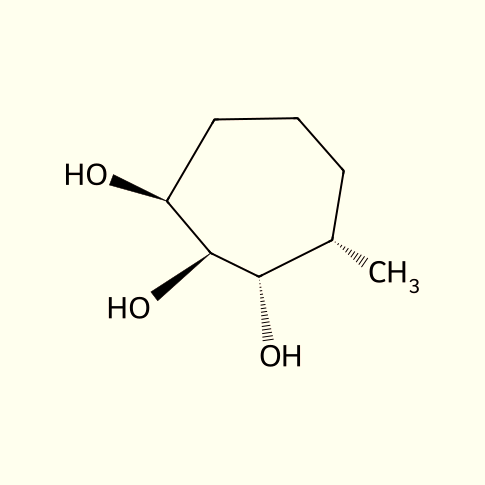 C[C@H]1CCC[C@H](O)[C@H](O)[C@H]1O